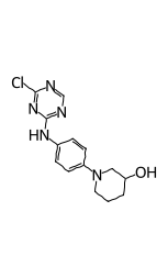 OC1CCCN(c2ccc(Nc3ncnc(Cl)n3)cc2)C1